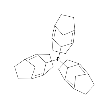 C1CC2=C3CCC(=C1C2)C3P(C1C2=C3CCC(=C1CC2)C3)C1C2=C3CCC(=C1CC2)C3